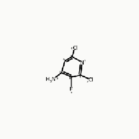 Nc1cc(Cl)nc(Cl)c1F